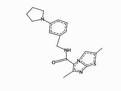 Cc1cn2c(C(=O)NCc3cccc(N4CCCC4)c3)c(C)nc2s1